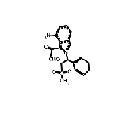 CS(=O)(=O)CC(C1=CCCC=C1)n1cc2cccc(N)c2c1C(=O)C=O